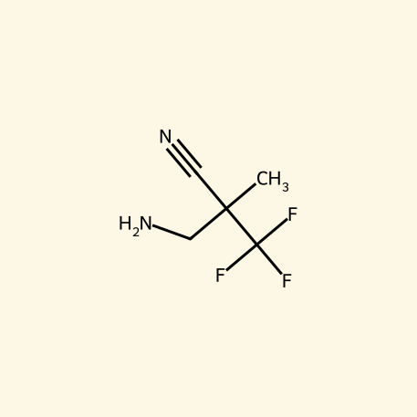 CC(C#N)(CN)C(F)(F)F